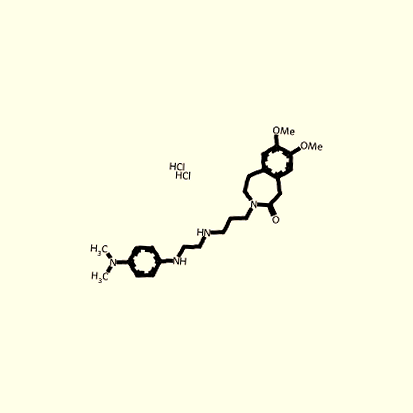 COc1cc2c(cc1OC)CC(=O)N(CCCNCCNc1ccc(N(C)C)cc1)CC2.Cl.Cl